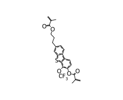 C=C(C)C(=O)OCCCc1ccc2c(c1)sc1c(OC(F)(F)F)c(OC(=O)C(=C)C)ccc12